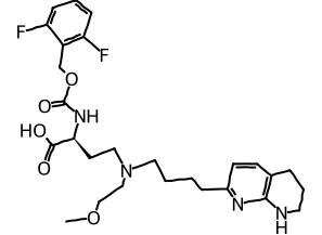 COCCN(CCCCc1ccc2c(n1)NCCC2)CC[C@H](NC(=O)OCc1c(F)cccc1F)C(=O)O